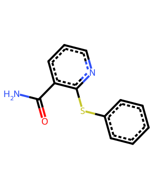 NC(=O)c1cccnc1Sc1ccccc1